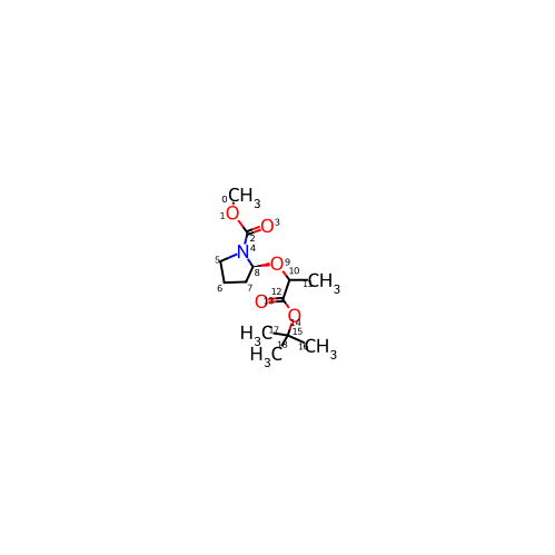 COC(=O)N1CCC[C@@H]1OC(C)C(=O)OC(C)(C)C